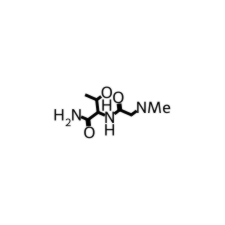 CNCC(=O)NC(C(N)=O)C(C)O